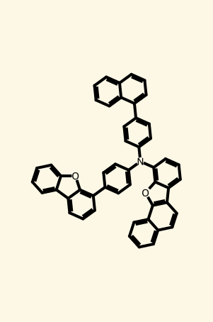 c1ccc2c(-c3ccc(N(c4ccc(-c5cccc6c5oc5ccccc56)cc4)c4cccc5c4oc4c6ccccc6ccc54)cc3)cccc2c1